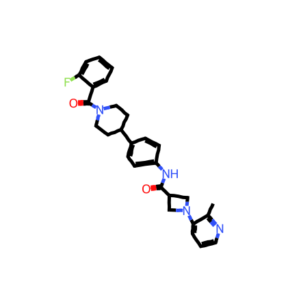 Cc1ncccc1N1CC(C(=O)Nc2ccc(C3CCN(C(=O)c4ccccc4F)CC3)cc2)C1